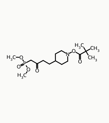 COP(=O)(CC(=O)CCC1CCN(OC(=O)C(C)(C)C)CC1)OC